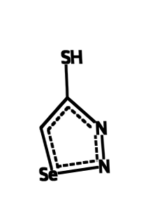 Sc1c[se]nn1